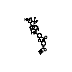 C[N+](C)(C)CC(=O)N1CCN(C(=O)c2ccc(Nc3nccn4c(-c5c[nH]nc5C(F)(F)F)cnc34)cc2Cl)CC1